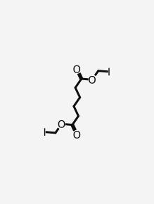 O=C(CCCCC(=O)OCI)OCI